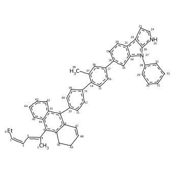 CC/C=C\C=C(/C)c1c2c(c(-c3ccc(-c4ccc(-c5ccc6c7cc[nH]c7n(-c7ccccc7)c6c5)cc4C)cc3)c3ccccc13)C=CCC2